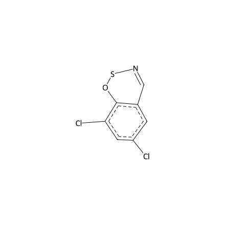 Clc1cc(Cl)c2c(c1)C=NSO2